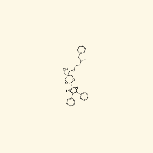 CN(CCOC[C@]1(CO)CO[C@@H](c2nc(-c3ccccc3)c(-c3ccccc3)[nH]2)OC1)Cc1ccccc1